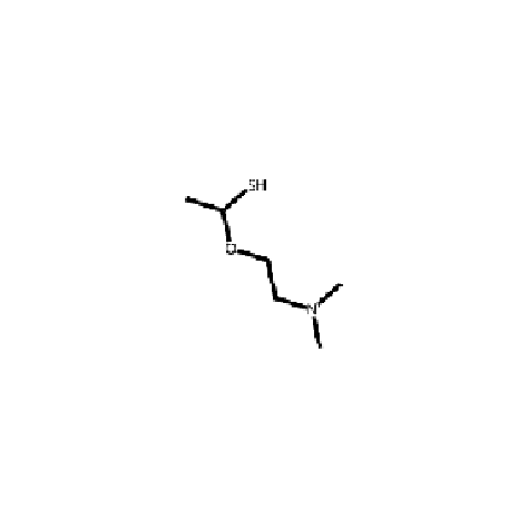 CC(S)OCCN(C)C